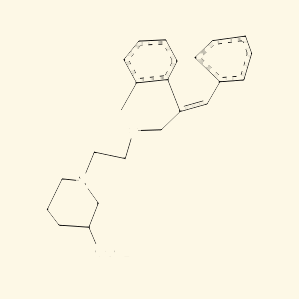 CCOC(=O)C1CCCN(CCOCC(=Cc2ccccc2)c2ccccc2C)C1